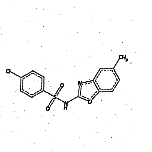 Cc1ccc2oc(NS(=O)(=O)c3ccc(Cl)cc3)nc2c1